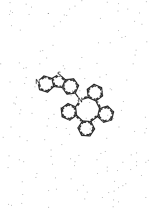 c1ccc2c(c1)c1ccccc1c1ccccc1n(-c1ccc3sc4cnccc4c3c1)c1ccccc21